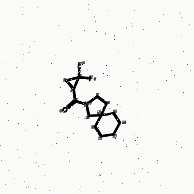 O=C(C1CC1(F)F)N1CCC2(CCCCC2)C1